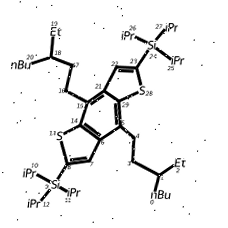 CCCCC(CC)CCc1c2cc([Si](C(C)C)(C(C)C)C(C)C)sc2c(CCC(CC)CCCC)c2cc([Si](C(C)C)(C(C)C)C(C)C)sc12